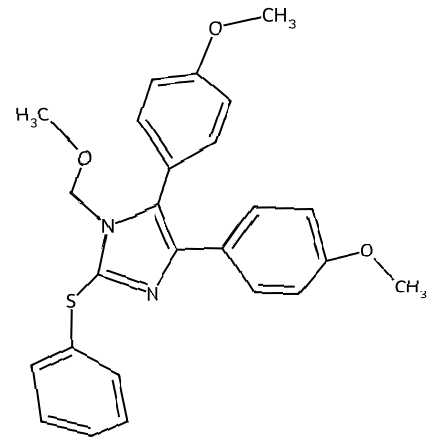 COCn1c(Sc2ccccc2)nc(-c2ccc(OC)cc2)c1-c1ccc(OC)cc1